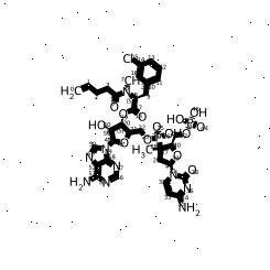 C=CCCC(=O)N(C)[C@@H](Cc1cccc(Cl)c1)C(=O)O[C@@H]1C(COP(=O)(O)[C@@]2(C)C[C@H](n3ccc(N)nc3=O)O[C@@H]2COP(=O)(O)O)OC(n2cnc3c(N)ncnc32)[C@@H]1O